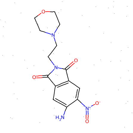 Nc1cc2c(cc1[N+](=O)[O-])C(=O)N(CCN1CCOCC1)C2=O